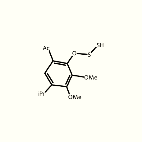 COc1c(C(C)C)cc(C(C)=O)c(OSS)c1OC